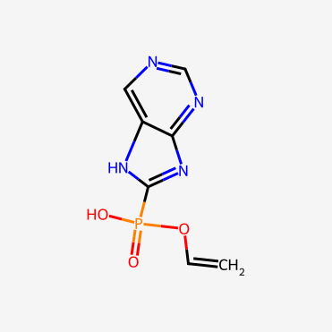 C=COP(=O)(O)c1nc2ncncc2[nH]1